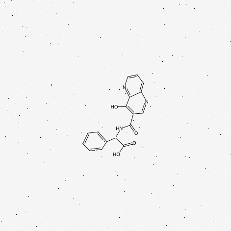 O=C(NC(C(=O)O)c1ccccc1)c1cnc2cccnc2c1O